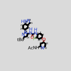 CC(=O)Nc1cc(Oc2ccc(NC(=O)Nc3cc(C(C)(C)C)nn3-c3ccc4[nH]ncc4c3)c(F)c2)ccn1